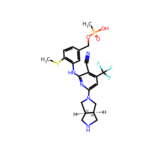 CSc1ccc(COP(C)(=O)O)cc1Nc1nc(N2C[C@H]3CNC[C@H]3C2)cc(C(F)(F)F)c1C#N